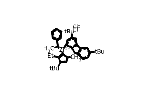 CCC1=[C](/[Zr+2](=[C](\C)c2ccccc2)[c]2cc(C(C)(C)C)cc3c2Cc2ccc(C(C)(C)C)cc2-3)C(C)C=C1C(C)(C)C.[Cl-].[Cl-]